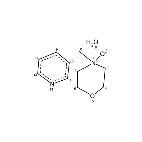 C[N+]1([O-])CCOCC1.O.c1ccncc1